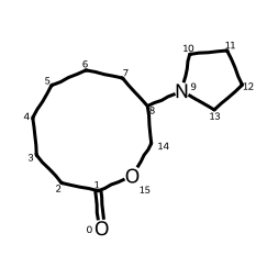 O=C1CCCCCCC(N2CCCC2)CO1